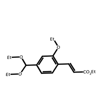 CCOC(=O)C=Cc1ccc(C(OCC)OCC)cc1OCC